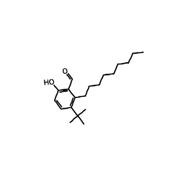 CCCCCCCCCc1c(C(C)(C)C)ccc(O)c1C=O